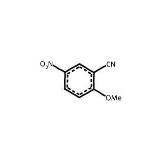 COc1c[c]c([N+](=O)[O-])cc1C#N